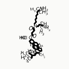 CCC(CCC(C)[C@H]1CC[C@H]2[C@@H]3CC=C4C[C@@H](OC(=O)CCC(=O)N(CCCCCCCC(C)(C)N)CCC(C)(C)N)CC[C@]4(C)[C@H]3CC[C@]12C)C(C)C.Cl.Cl